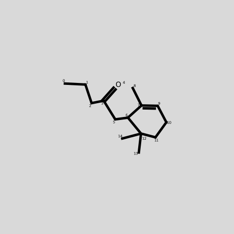 CCCC(=O)CC1C(C)=CCCC1(C)C